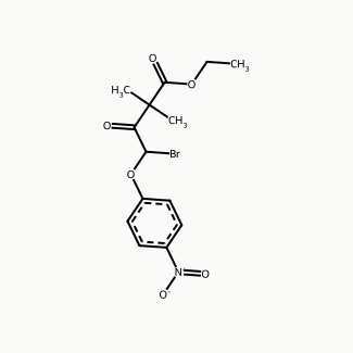 CCOC(=O)C(C)(C)C(=O)C(Br)Oc1ccc([N+](=O)[O-])cc1